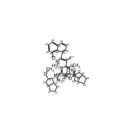 C=N/C(=C(/F)c1nc(OC[C@]23CCCN2C[C@@H](OC)C3)nc(N2CC3CCC(C2)N3C(=O)OC(C)(C)C)c1C)c1cccc2cccc(Cl)c12